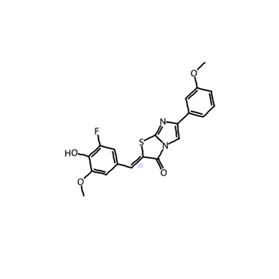 COc1cccc(-c2cn3c(=O)/c(=C/c4cc(F)c(O)c(OC)c4)sc3n2)c1